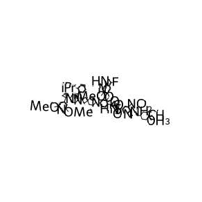 COc1cc(C2(N3CCN(C4CC5(CCN(c6ccc(C(=O)NS(=O)(=O)c7cnc(NCC8CCC(C)(O)CC8)c([N+](=O)[O-])c7)c(Oc7cc8c(F)c[nH]c8nc7OC)c6)CC5)C4)[C@H](c4ccccc4C(C)C)C3)CC2)cc(OC)n1